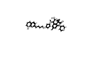 Cc1cc(C(C(=O)O)N(C)[C@H]2CC[C@H](OCCCCc3ccc4c(n3)NCCC4)C2)c2c(c1)N(C1CCOCC1)C(=O)C21CC1